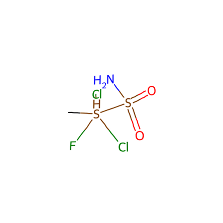 C[SH](F)(Cl)(Cl)S(N)(=O)=O